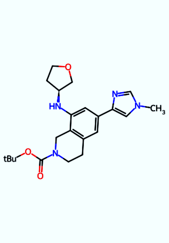 Cn1cnc(-c2cc3c(c(N[C@H]4CCOC4)c2)CN(C(=O)OC(C)(C)C)CC3)c1